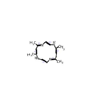 C/C1=C/C(C)=N/C=C/N\C(C)=C/C(C)=N/C=C/N1